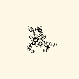 CC[C@@H]1C[C@]1(NC(=O)[C@@H]1C[C@@H](Oc2cc(Sc3nnc(C)s3)nc3c(Cl)c(OCCN4CCOCC4)ccc23)CN1C(=O)[C@@H](NC(=O)O[C@@H]1C[C@@H]2C[C@@H]2C1)C(C)(C)C)C(=O)O